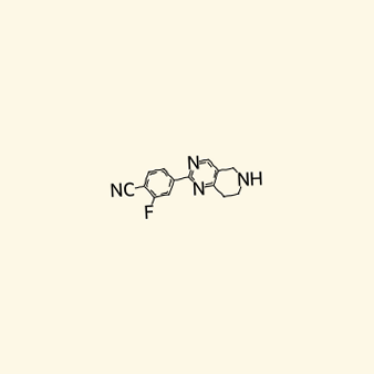 N#Cc1ccc(-c2ncc3c(n2)CCNC3)cc1F